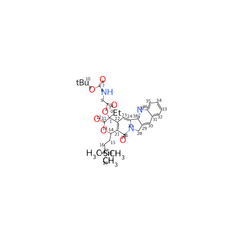 CCC1(OC(=O)CNC(=O)OC(C)(C)C)C(=O)OC(CC[Si](C)(C)C)c2c1cc1n(c2=O)Cc2cc3ccccc3nc2-1